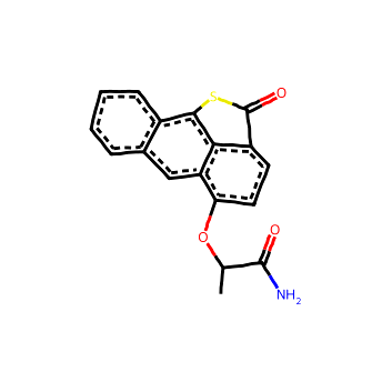 CC(Oc1ccc2c3c(c4ccccc4cc13)SC2=O)C(N)=O